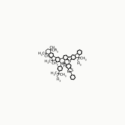 CC(C)(C)c1ccc(Nc2cc3c(cc2-c2ccc4c5cc6c(cc5n5c4c2Bc2cc4nc(-c7ccccc7)sc4cc2-5)C(C)(C)c2ccccc2-6)-c2cc4c(cc2C3(C)C)C(C)(C)CCC4(C)C)cc1